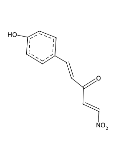 O=C(C=Cc1ccc(O)cc1)C=C[N+](=O)[O-]